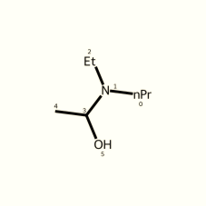 CCCN(CC)C(C)O